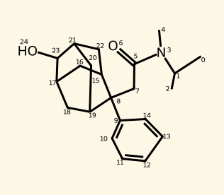 CC(C)N(C)C(=O)CC1(c2ccccc2)C2CC3CC1CC(C2)C3O